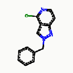 Clc1nccc2nn(Cc3ccccc3)cc12